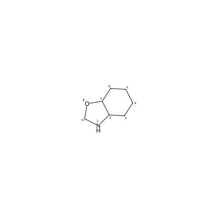 [CH]1NC2CCCCC2O1